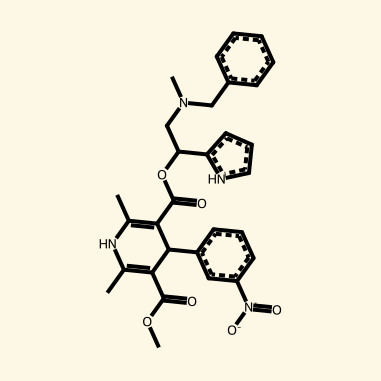 COC(=O)C1=C(C)NC(C)=C(C(=O)OC(CN(C)Cc2ccccc2)c2ccc[nH]2)C1c1cccc([N+](=O)[O-])c1